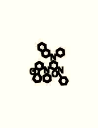 c1ccc(-c2nc3cc(N(c4ccccc4)c4ccc5ccccc5c4)cc(N(c4ccccc4)c4cccc5oc6ccccc6c45)c3o2)cc1